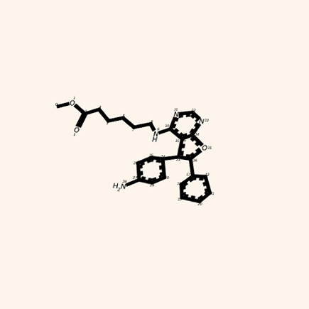 COC(=O)CCCCCNc1ncnc2oc(-c3ccccc3)c(-c3ccc(N)cc3)c12